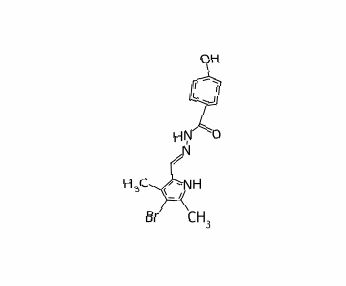 Cc1[nH]c(C=NNC(=O)c2ccc(O)cc2)c(C)c1Br